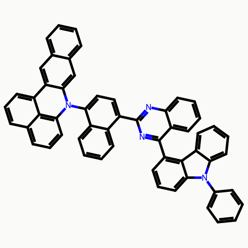 c1ccc(-n2c3ccccc3c3c(-c4nc(-c5ccc(N6c7cc8ccccc8cc7-c7cccc8cccc6c78)c6ccccc56)nc5ccccc45)cccc32)cc1